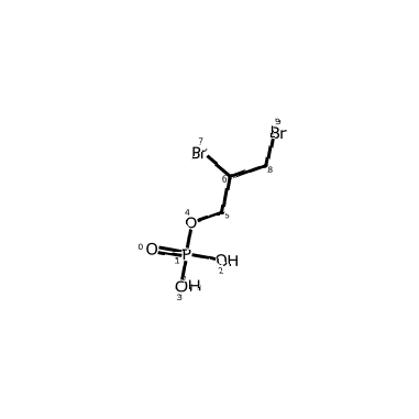 O=P(O)(O)OCC(Br)CBr